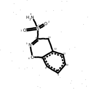 NS(=O)(=O)C1=NOc2ccccc2C1